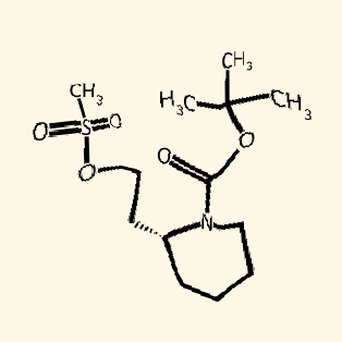 CC(C)(C)OC(=O)N1CCCC[C@@H]1CCOS(C)(=O)=O